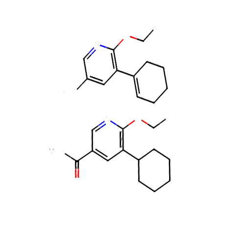 COC(=O)c1cnc(OCC(F)(F)F)c(C2CCCCC2)c1.O=C(O)c1cnc(OCC(F)(F)F)c(C2=CCCCC2)c1